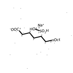 CCCCCCCCCCCCCC(=O)[O-].O=S(=O)(O)O.[Na+]